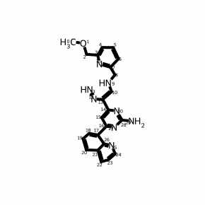 COCc1cccc(CN/C=C(\N=N)c2cc(-c3cccc4cccnc34)nc(N)n2)n1